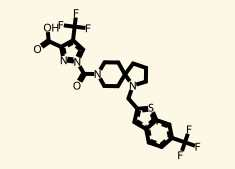 O=C(O)c1nn(C(=O)N2CCC3(CCCN3Cc3cc4ccc(C(F)(F)F)cc4s3)CC2)cc1C(F)(F)F